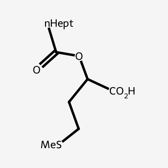 CCCCCCCC(=O)OC(CCSC)C(=O)O